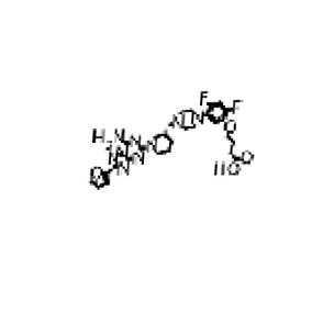 Nc1nc(N2CCC[C@@H](CN3CCN(c4cc(OCCCC(=O)O)c(F)cc4F)CC3)C2)nc2nc(-c3ccco3)nn12